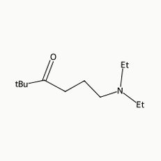 CCN(CC)CCCC(=O)C(C)(C)C